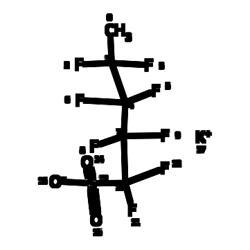 CC(F)(F)C(F)(F)C(F)(F)C(F)(F)S(=O)(=O)[O-].[K+]